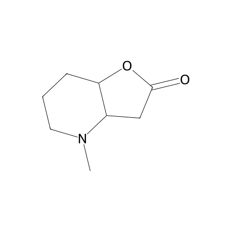 CN1CCCC2OC(=O)CC21